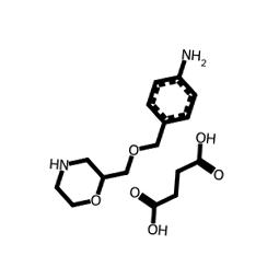 Nc1ccc(COCC2CNCCO2)cc1.O=C(O)CCC(=O)O